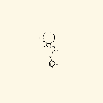 CCc1nn(C[C@@H](C)COC(=O)c2ccc(C(F)(F)F)c(Cl)c2)c2c1C(=O)NCCCOCCC2